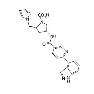 O=C(N[C@@H]1C[C@@H](Cn2cccn2)N(C(=O)O)C1)c1ccc(-c2cccc3[nH]ncc23)nc1